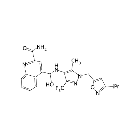 Cc1c(NC(O)c2cc(C(N)=O)nc3ccccc23)c(C(F)(F)F)nn1Cc1cc(C(C)C)no1